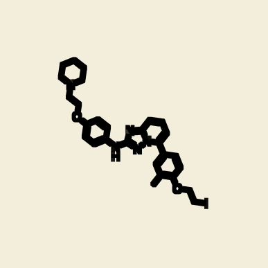 Cc1cc(-c2cccc3nc(Nc4ccc(OCCN5CCCCC5)cc4)nn23)ccc1OCCI